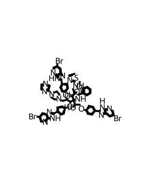 COc1ccccc1CNC(C(O)COc1ccc(-c2nc3cc(Br)cnc3[nH]2)cc1)(C(Oc1ccc(-c2nc3cc(Br)cnc3[nH]2)cc1)C(O)CNc1nccs1)C(Oc1ccc(-c2nc3cc(Br)cnc3[nH]2)cc1)C(O)CN1CCN(c2cnccn2)CC1